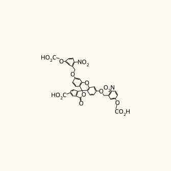 O=C(O)COc1ccc([N+](=O)[O-])c(COc2ccc3c(c2)Oc2cc(OCc4cc(OCC(=O)O)ccc4[N+](=O)[O-])ccc2C32OC(=O)c3cc(C(=O)O)ccc32)c1